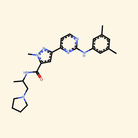 Cc1cc(C)cc(Nc2nccc(-c3cc(C(=O)NC(C)CN4CCCC4)n(C)n3)n2)c1